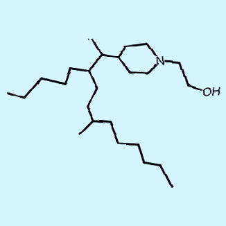 [CH2]C(C(CCCCC)CCC(C)CCCCCC)C1CCN(CCO)CC1